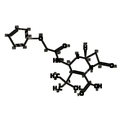 CC(C)(C)C1=C(C(=O)O)N2C(=O)C[C@H]2SC1NC(=O)COc1ccccc1